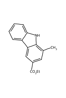 CCOC(=O)c1cc(C)c2[nH]c3ccccc3c2c1